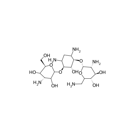 NCC1O[C@H](O[C@@H]2C(N)CC(N)[C@H](OC3O[C@H](CO)C(O)[C@@H](N)C3O)[C@H]2O)[C@H](N)[C@@H](O)[C@@H]1O